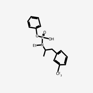 CCN(C(C)Cc1cccc(C(F)(F)F)c1)P(=O)(O)Oc1ccccc1